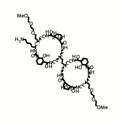 COCCOCCOCCN1CCNC(=O)[C@H]2CCC=C(C(=O)NCCN(CCN3CCNC(=O)C4=CCC[C@H](C(=O)NC(CCCCN)CN(CCOCCOCCOC)CCNC(=O)[C@@H]5CCC=C(C(=O)NCC3)C5O)C4O)CCNC(=O)C3=CCC[C@@H](C(=O)NCC1)C3O)C2O